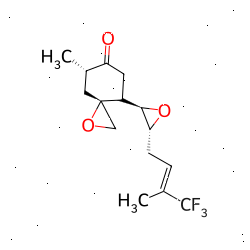 C/C(=C\C[C@H]1O[C@@H]1C1CC(=O)[C@@H](C)C[C@]12CO2)C(F)(F)F